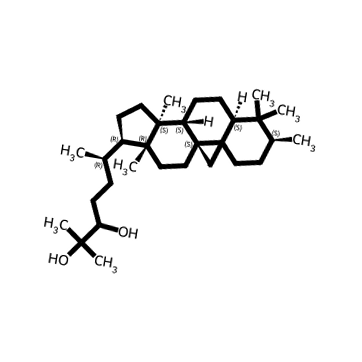 C[C@H](CCC(O)C(C)(C)O)[C@H]1CC[C@@]2(C)[C@@H]3CC[C@H]4C(C)(C)[C@@H](C)CCC45C[C@@]35CC[C@]12C